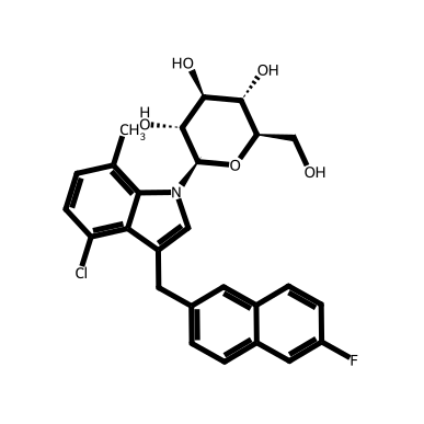 Cc1ccc(Cl)c2c(Cc3ccc4cc(F)ccc4c3)cn([C@@H]3O[C@H](CO)[C@@H](O)[C@H](O)[C@H]3O)c12